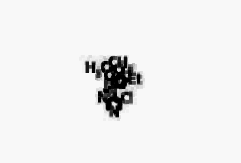 CCC1=C[C@@H](n2cnc3cncc(Cl)c32)[C@@H]2OC(C)(C)O[C@H]12